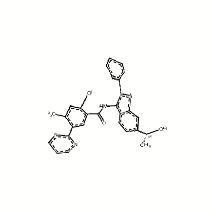 C[C@@H](O)c1ccc2c(NC(=O)c3cc(-c4ncccn4)c(C(F)(F)F)cc3Cl)n(-c3ccccc3)nc2c1